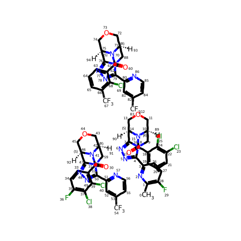 Cc1nc(-c2nnc3n2C[C@@H]2COC[C@H]3N2C(=O)c2cccc(Cl)c2Cl)ccc1F.O=C(c1ccc(F)c(Cl)c1Cl)N1[C@H]2COC[C@@H]1c1nnc(-c3cc(C(F)(F)F)ccn3)n1C2.O=C(c1cccc(C(F)(F)F)c1Cl)N1[C@H]2COC[C@@H]1c1nnc(-c3cc(C(F)(F)F)ccn3)n1C2